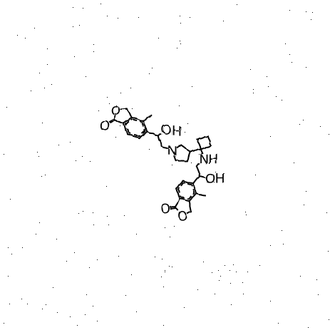 Cc1c(C(O)CNC2(C3CCN(CC(O)c4ccc5c(c4C)COC5=O)C3)CCC2)ccc2c1COC2=O